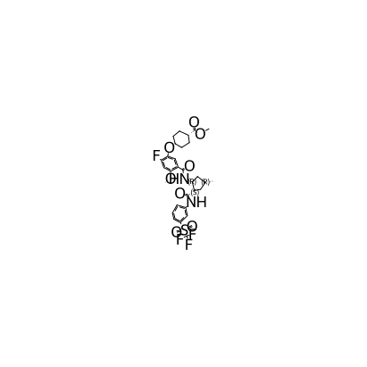 COc1cc(F)c(O[C@H]2CC[C@@H](C(=O)OC)CC2)cc1C(=O)N[C@@H]1C[C@H](C)C[C@@H]1C(=O)Nc1cccc(S(=O)(=O)C(F)(F)F)c1